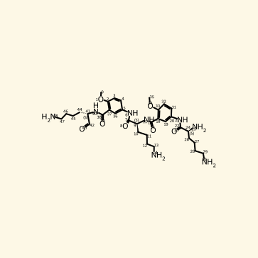 COc1ccc(NC(=O)[C@H](CCCCN)NC(=O)c2cc(NC(=O)[C@@H](N)CCCCN)ccc2OC)cc1C(=O)N[C@H](C=O)CCCCN